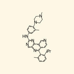 Cc1cc(Nc2ncc3nc(-c4c(C)cccc4C(C)C)c4ccncc4c3n2)ccc1N1CCN(C)CC1